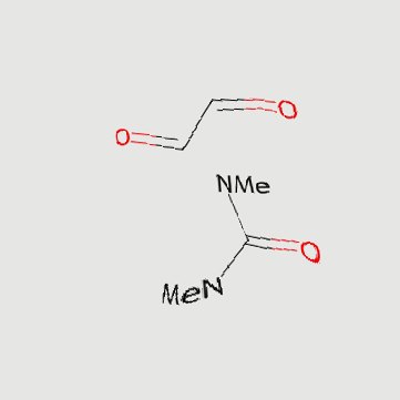 CNC(=O)NC.O=CC=O